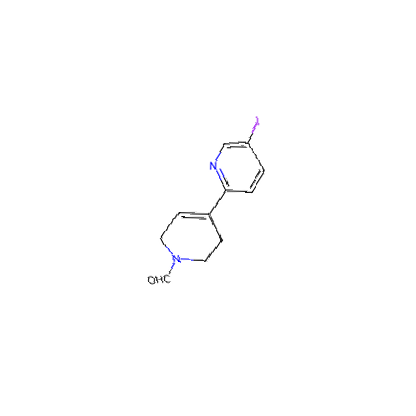 O=CN1CC=C(c2ccc(I)cn2)CC1